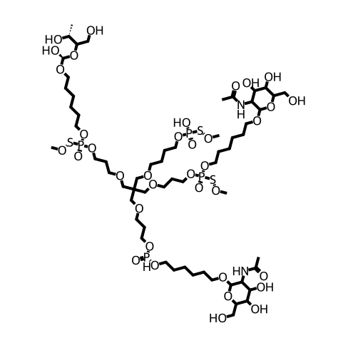 COSP(=O)(O)OCCCCOCC(COCCCO[PH](=O)OCCCCCCOC1OC(CO)C(O)C(O)C1NC(C)=O)(COCCCOP(=O)(OCCCCCCOC1OC(CO)C(O)C(O)C1NC(C)=O)SOC)COCCCOP(=O)(OCCCCCCO[C@@H](O)OC(CO)[C@@H](C)O)SOC